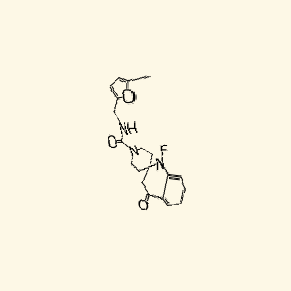 Cc1ccc(CNC(=O)N2CCC3(CC2)CC(=O)c2ccccc2N3F)o1